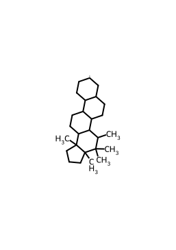 CC1C2C3CCC4C[CH]CCC4C3CCC2C2(C)CCCC2(C)C1(C)C